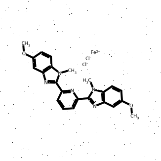 COc1ccc2c(c1)nc(-c1cccc(-c3nc4cc(OC)ccc4n3C)n1)n2C.[Cl-].[Cl-].[Fe+2]